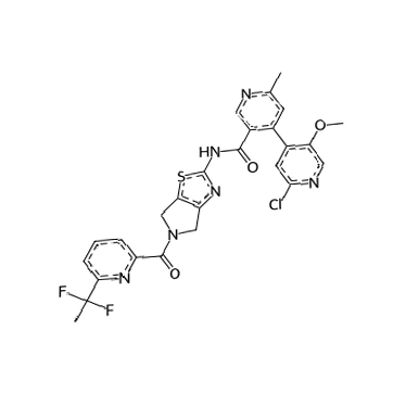 COc1cnc(Cl)cc1-c1cc(C)ncc1C(=O)Nc1nc2c(s1)CN(C(=O)c1cccc(C(C)(F)F)n1)C2